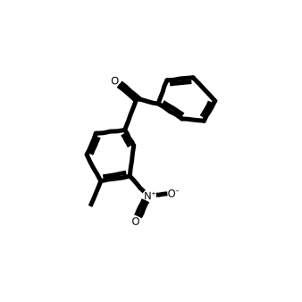 Cc1ccc(C(=O)c2ccccc2)cc1[N+](=O)[O-]